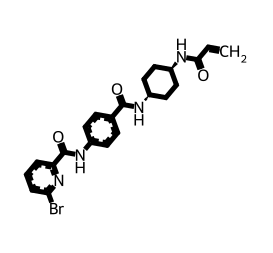 C=CC(=O)N[C@H]1CC[C@H](NC(=O)c2ccc(NC(=O)c3cccc(Br)n3)cc2)CC1